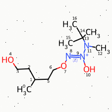 CC(CCO)CCO/N=[N+](\O)N(C)C(C)(C)C